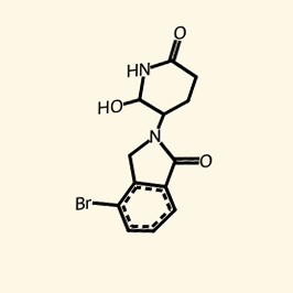 O=C1CCC(N2Cc3c(Br)cccc3C2=O)C(O)N1